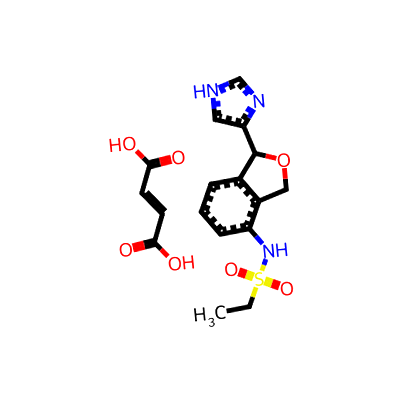 CCS(=O)(=O)Nc1cccc2c1COC2c1c[nH]cn1.O=C(O)C=CC(=O)O